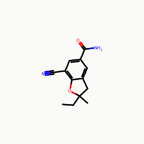 CCC1(C)Cc2cc(C(N)=O)cc(C#N)c2O1